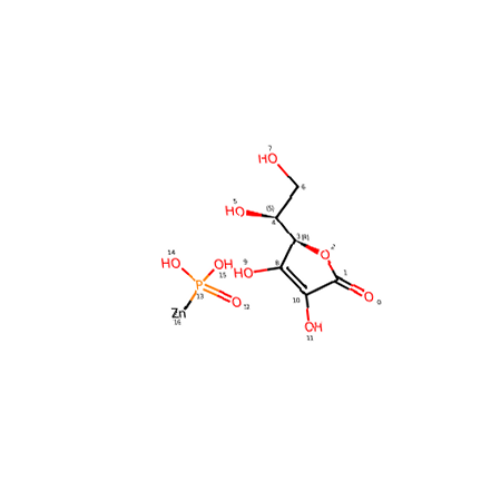 O=C1O[C@H]([C@@H](O)CO)C(O)=C1O.O=[P](O)(O)[Zn]